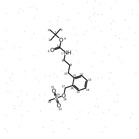 CC(C)(C)OC(=O)NCCCc1ccccc1COS(C)(=O)=O